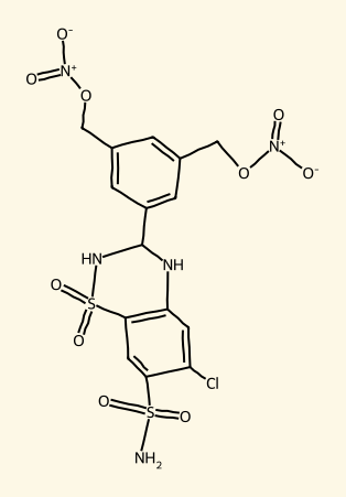 NS(=O)(=O)c1cc2c(cc1Cl)NC(c1cc(CO[N+](=O)[O-])cc(CO[N+](=O)[O-])c1)NS2(=O)=O